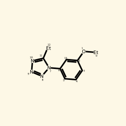 CCOc1cccc(-n2nnnc2CC)c1